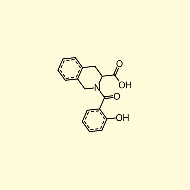 O=C(O)C1Cc2ccccc2CN1C(=O)c1ccccc1O